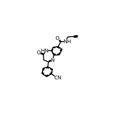 C#CCNC(=O)c1ccc2c(c1)NC(=O)CC(c1cccc(C#N)c1)=N2